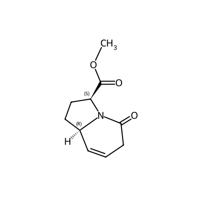 COC(=O)[C@@H]1CC[C@@H]2C=CCC(=O)N21